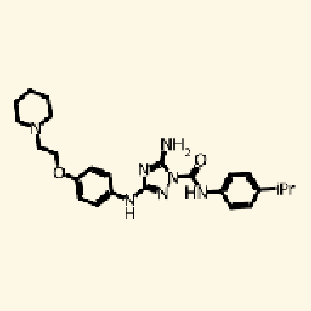 CC(C)c1ccc(NC(=O)n2nc(Nc3ccc(OCCN4CCCCC4)cc3)nc2N)cc1